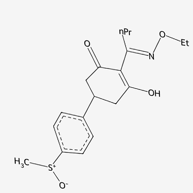 CCC/C(=N\OCC)C1=C(O)CC(c2ccc([S+](C)[O-])cc2)CC1=O